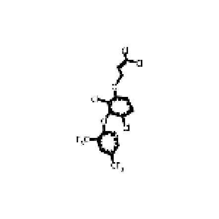 FC(F)(F)c1cnc(Oc2c(Cl)ccc(OCC=C(Cl)Cl)c2Cl)c(C(F)(F)F)c1